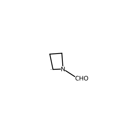 O=CN1[CH]CC1